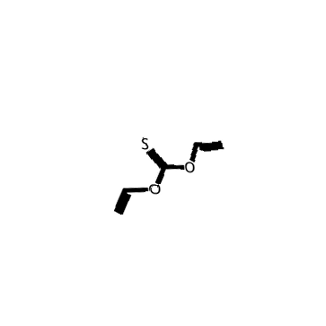 C=COC(=S)OC=C